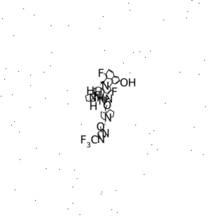 C#Cc1c(F)ccc2cc(O)cc(-c3nc4c5c(nc(OC[C@@]67CCCN6[C@H](COc6cc(C(F)(F)F)ncn6)CC7)nc5c3F)N3C[C@H]5CC[C@H](N5)[C@H]3CC4)c12